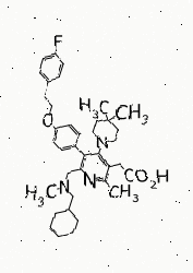 Cc1nc(CN(C)CC2CCCCC2)c(-c2ccc(OCCc3ccc(F)cc3)cc2)c(N2CCC(C)(C)CC2)c1CC(=O)O